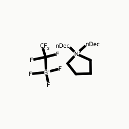 CCCCCCCCCC[N+]1(CCCCCCCCCC)CCCC1.F[B-](F)(F)C(F)(F)C(F)(F)F